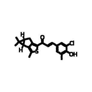 Cc1cc(/C=C/C(=O)c2sc(C)c3c2C[C@@H]2[C@H]3C2(C)C)cc(Cl)c1O